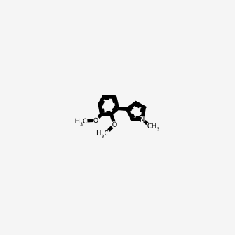 COc1cccc(-c2c[c]n(C)c2)c1OC